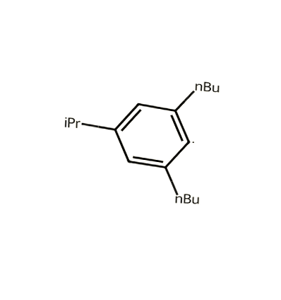 CCCCc1[c]c(CCCC)cc(C(C)C)c1